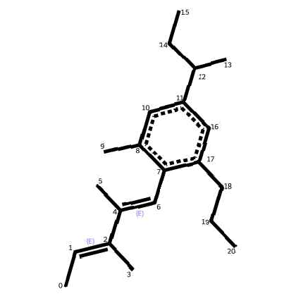 C/C=C(C)/C(C)=C/c1c(C)cc(C(C)CC)cc1CCC